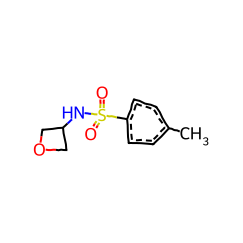 Cc1ccc(S(=O)(=O)NC2COC2)cc1